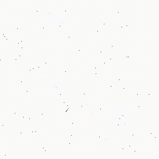 Cc1nn2cccnc2c1C(=O)N[C@@H](C)c1cc2cccc(/C=C\c3cnn(C)c3)c2c(=O)n1-c1ccccc1